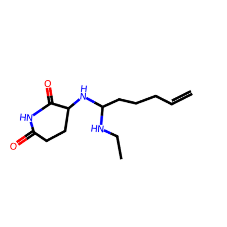 C=CCCCC(NCC)NC1CCC(=O)NC1=O